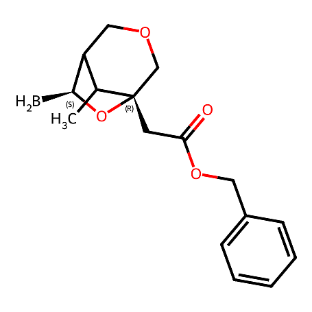 B[C@@H]1O[C@@]2(CC(=O)OCc3ccccc3)COCC1C2C